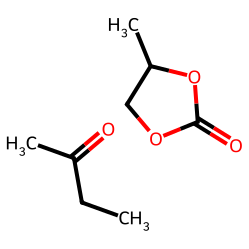 CC1COC(=O)O1.CCC(C)=O